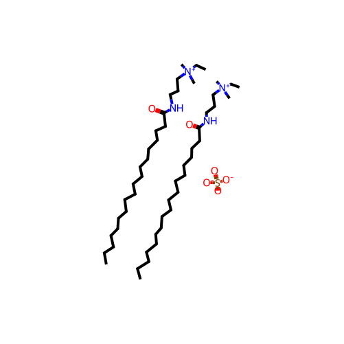 CCCCCCCCCCCCCCCCCC(=O)NCCC[N+](C)(C)CC.CCCCCCCCCCCCCCCCCC(=O)NCCC[N+](C)(C)CC.O=S(=O)([O-])[O-]